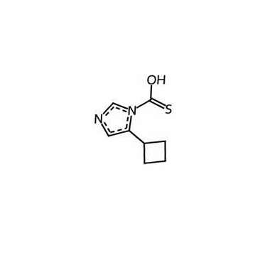 OC(=S)n1cncc1C1CCC1